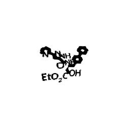 CCOC(=O)[C@H](O)C[C@@H](Cc1ccc(-c2ccccc2)cc1)NC(=O)c1cc(-c2ccccn2)n[nH]1